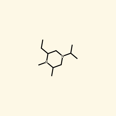 CCC1CN(C(C)C)CC(C)N1C